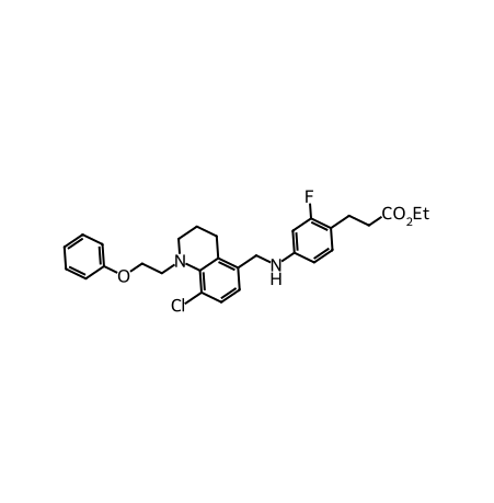 CCOC(=O)CCc1ccc(NCc2ccc(Cl)c3c2CCCN3CCOc2ccccc2)cc1F